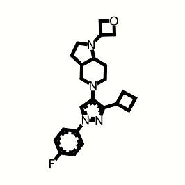 Fc1ccc(-n2cc(N3CCC4C(CCN4C4COC4)C3)c(C3CCC3)n2)cc1